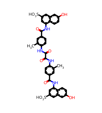 Cc1cc(C(=O)Nc2cc(S(=O)(=O)O)cc3cc(O)ccc23)ccc1NC(=O)C(=O)Nc1ccc(C(=O)Nc2cc(S(=O)(=O)O)cc3cc(O)ccc23)cc1C